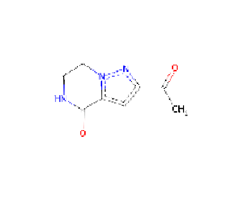 CC(=O)c1cc2n(n1)CCNC2=O